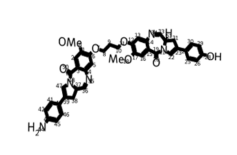 COc1cc2c(cc1OCCCOc1cc3c(cc1OC)C(=O)N1C=C(c4ccc(O)cc4)C[C@H]1C=N3)N=CC1CC(c3ccc(N)cc3)=CN1C2=O